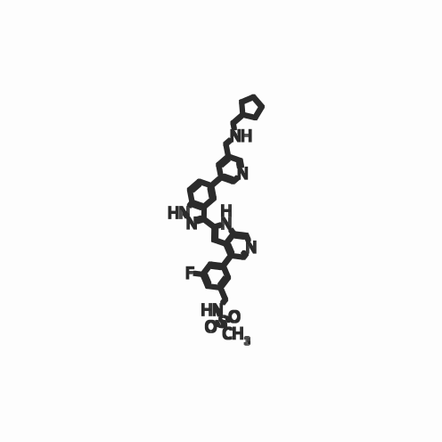 CS(=O)(=O)NCc1cc(F)cc(-c2cncc3[nH]c(-c4n[nH]c5ccc(-c6cncc(CNCC7CCCC7)c6)cc45)cc23)c1